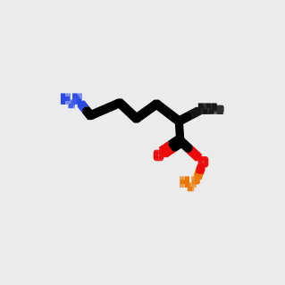 CNC(CCCCN)C(=O)OP